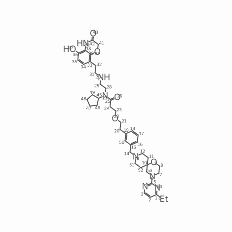 CCc1ccnc(N2CCOC3(CCN(Cc4cccc(CCOCCC(=O)N(CCNCCc5ccc(O)c6c5OCC(=O)N6)C5CCCC5)c4)CC3)C2)n1